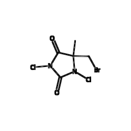 CC1(CBr)C(=O)N(Cl)C(=O)N1Cl